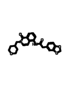 O=C(Cc1ccc2c(c1)OCO2)Nc1cccc2c(=O)n(CC3CCOCC3)ccc12